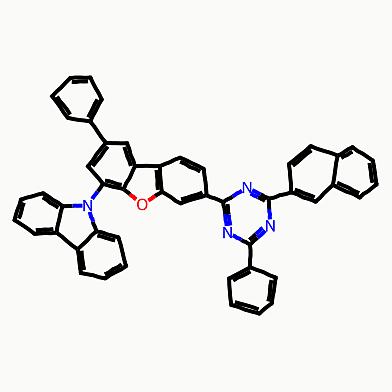 c1ccc(-c2cc(-n3c4ccccc4c4ccccc43)c3oc4cc(-c5nc(-c6ccccc6)nc(-c6ccc7ccccc7c6)n5)ccc4c3c2)cc1